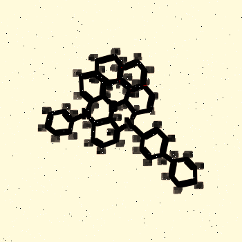 C1=CC2C(B3c4c(-c5ccccc5)cccc4N(c4ccccc4)c4cccc(c43)N2c2ccc(-c3ccccc3)cc2)C(c2ccccc2)=C1